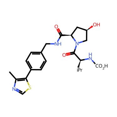 Cc1ncsc1-c1ccc(CNC(=O)[C@H]2C[C@@H](O)CN2C(=O)[C@@H](NC(=O)O)C(C)C)cc1